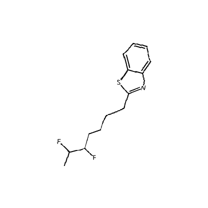 CC(F)C(F)CCCCc1nc2ccccc2s1